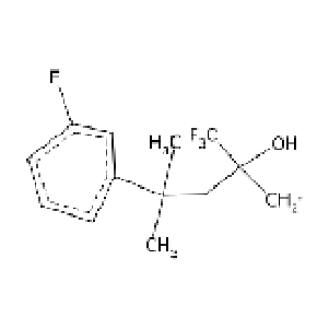 [CH2]C(O)(CC(C)(C)c1cccc(F)c1)C(F)(F)F